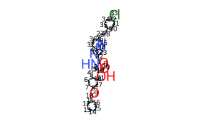 O=C(N[C@@H](Cc1ccc(OCc2ccccc2)cc1)C(=O)O)c1cn2nc(C=Cc3ccc(Cl)cc3)ccc2n1